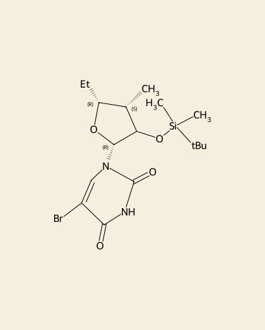 CC[C@H]1O[C@@H](n2cc(Br)c(=O)[nH]c2=O)C(O[Si](C)(C)C(C)(C)C)[C@H]1C